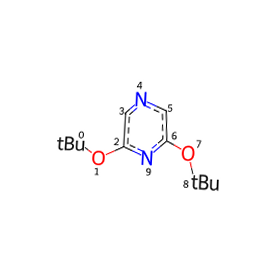 CC(C)(C)Oc1cncc(OC(C)(C)C)n1